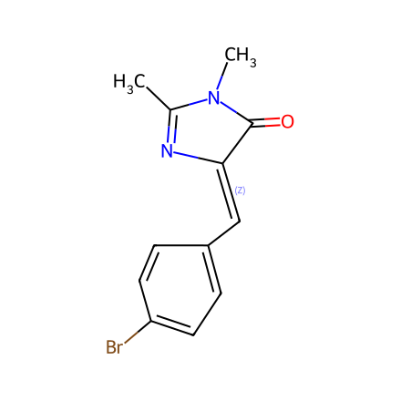 CC1=N/C(=C\c2ccc(Br)cc2)C(=O)N1C